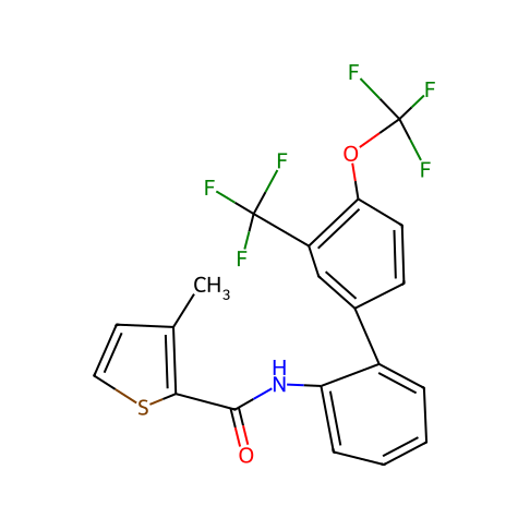 Cc1ccsc1C(=O)Nc1ccccc1-c1ccc(OC(F)(F)F)c(C(F)(F)F)c1